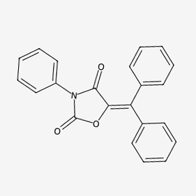 O=C1OC(=C(c2ccccc2)c2ccccc2)C(=O)N1c1ccccc1